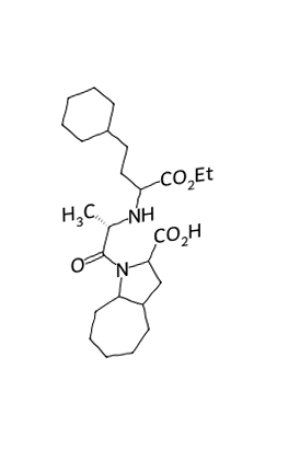 CCOC(=O)C(CCC1CCCCC1)N[C@@H](C)C(=O)N1C(C(=O)O)CC2CCCCCC21